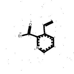 C=Cc1cccnc1C(=O)CC